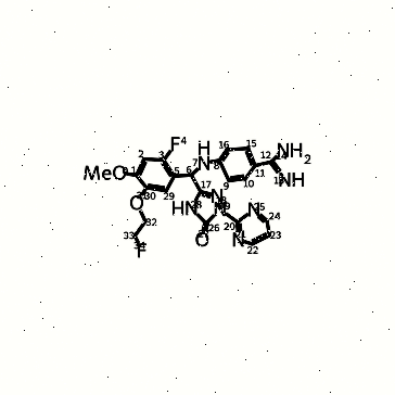 COc1cc(F)c(C(Nc2ccc(C(=N)N)cc2)c2nn(-c3ncccn3)c(=O)[nH]2)cc1OCCF